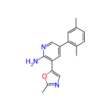 Cc1ccc(C)c(-c2cnc(N)c(-c3cnc(C)o3)c2)c1